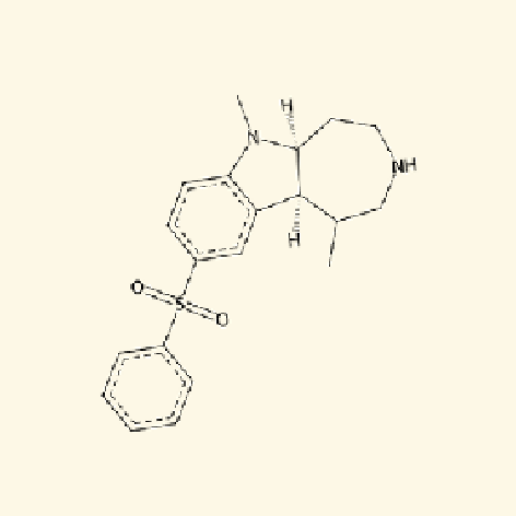 CC1CNCC[C@H]2[C@@H]1c1cc(S(=O)(=O)c3ccccc3)ccc1N2C